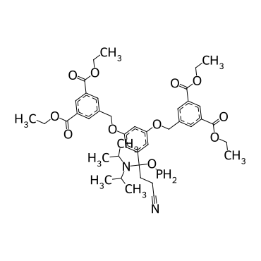 CCOC(=O)c1cc(COc2cc(OCc3cc(C(=O)OCC)cc(C(=O)OCC)c3)cc(C(CCC#N)(OP)N(C(C)C)C(C)C)c2)cc(C(=O)OCC)c1